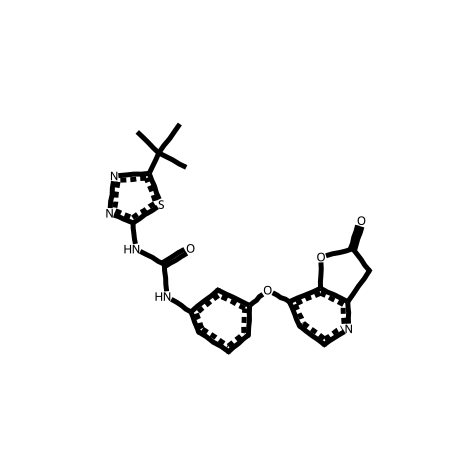 CC(C)(C)c1nnc(NC(=O)Nc2cccc(Oc3ccnc4c3OC(=O)C4)c2)s1